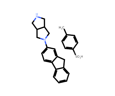 Cc1ccc(S(=O)(=O)O)cc1.c1ccc2c(c1)Cc1cc(N3CC4CNCC4C3)ccc1-2